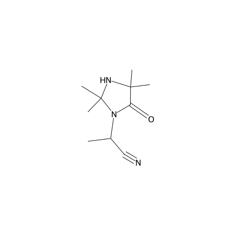 CC(C#N)N1C(=O)C(C)(C)NC1(C)C